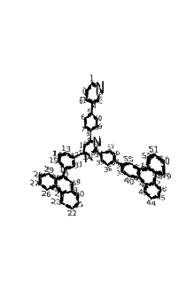 c1cncc(-c2ccc(-c3cc(-c4cccc(-c5cc6ccccc6c6ccccc56)c4)nc(-c4ccc(-c5ccc6c7ccccc7c7ccccc7c6c5)cc4)n3)cc2)c1